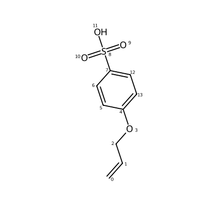 C=CCOc1ccc(S(=O)(=O)O)cc1